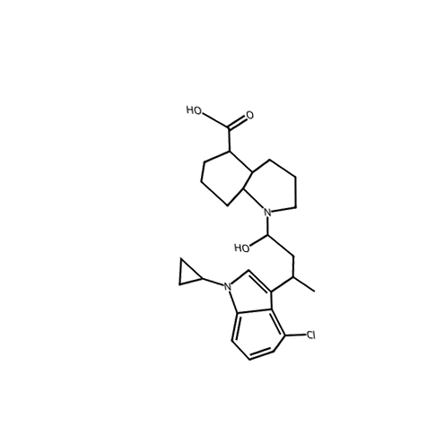 CC(CC(O)N1CCCC2C(C(=O)O)CCCC21)c1cn(C2CC2)c2cccc(Cl)c12